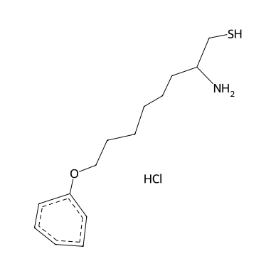 Cl.NC(CS)CCCCCCOc1ccccc1